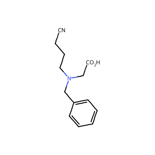 N#CCCCN(CC(=O)O)Cc1ccccc1